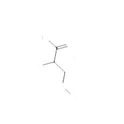 COCC(Br)C(=O)O.Cl